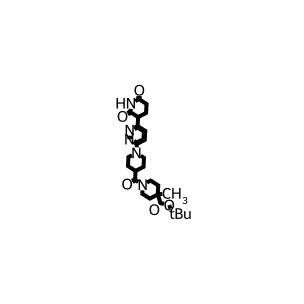 CC(C)(C)OC(=O)C1(C)CCN(C(=O)C2CCN(c3ccc(C4CCC(=O)NC4=O)nn3)CC2)CC1